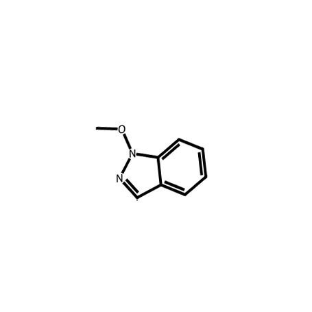 COn1n[c]c2ccccc21